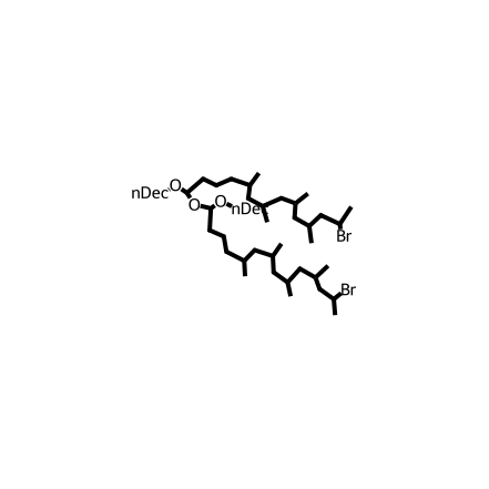 CCCCCCCCCCOC(CCCC(C)CC(C)CC(C)CC(C)CC(C)Br)OC(CCCC(C)CC(C)CC(C)CC(C)CC(C)Br)OCCCCCCCCCC